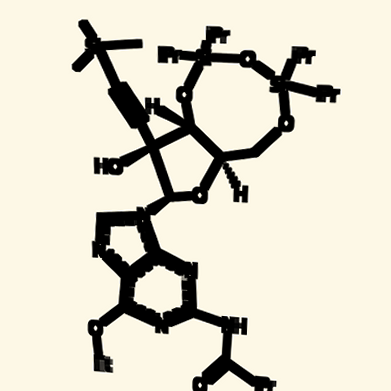 CCOc1nc(NC(=O)C(C)C)nc2c1ncn2[C@@H]1O[C@@H]2CO[Si](C(C)C)(C(C)C)O[Si](C(C)C)(C(C)C)O[C@H]2[C@@]1(O)C#C[Si](C)(C)C